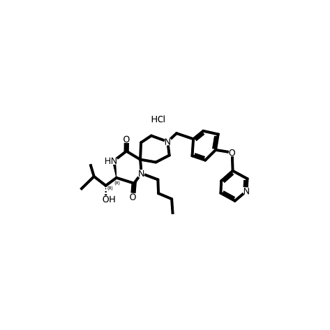 CCCCN1C(=O)[C@@H]([C@H](O)C(C)C)NC(=O)C12CCN(Cc1ccc(Oc3cccnc3)cc1)CC2.Cl